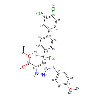 CCOC(=O)c1nnn(Cc2ccc(OC)cc2)c1C(F)(F)c1ccc(-c2ccc(Cl)c(Cl)c2)cc1